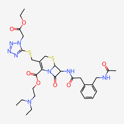 CCOC(=O)Cn1nnnc1SCC1=C(C(=O)OCCN(CC)CC)N2C(=O)C(NC(=O)Cc3ccccc3CNC(C)=O)C2SC1